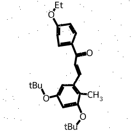 CCOc1ccc(C(=O)/C=C/c2cc(OC(C)(C)C)cc(OC(C)(C)C)c2C)cc1